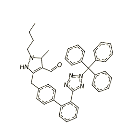 CCCCN1NC(Cc2ccc(-c3ccccc3-c3nnn(C(c4ccccc4)(c4ccccc4)c4ccccc4)n3)cc2)=C(C=O)C1C